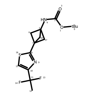 CC(C)(C)OC(=O)NC12CC(c3nc(C(C)(F)F)cs3)(C1)C2